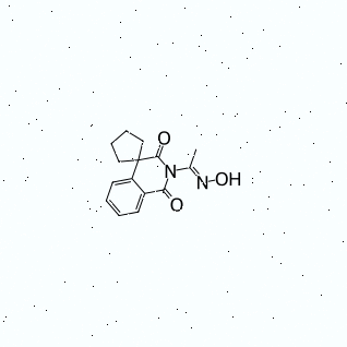 C/C(=N\O)N1C(=O)c2ccccc2C2(CCCC2)C1=O